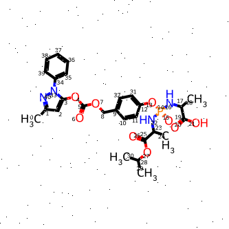 Cc1cc(OC(=O)OCc2ccc(OP(=O)(NC(C)C(=O)O)NC(C)C(=O)OC(C)C)cc2)n(-c2ccccc2)n1